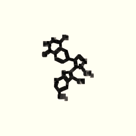 CCc1n[nH]c(=O)c2ccc(-c3cnn(C)c3-c3sc4ncc(C)cc4c3C#N)cc12